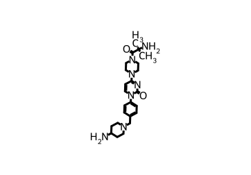 CC(C)(N)C(=O)N1CCN(c2ccn(-c3ccc(CN4CCC(N)CC4)cc3)c(=O)n2)CC1